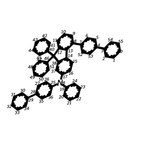 c1ccc(-c2ccc(-c3cccc4c3-c3ccc(N(c5ccccc5)c5ccc(-c6ccccc6)cc5)cc3C4(c3ccccc3)c3ccccc3)cc2)cc1